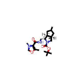 CC1=C(C(=O)NC[C@@H]2[C@H]3CC(C)C[C@H]3CN2C(=O)OC(C)(C)C)N(C)CO1